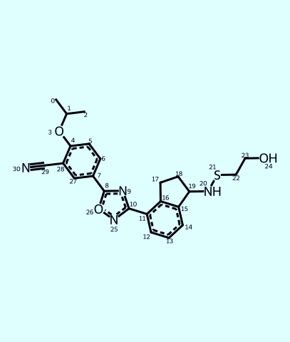 CC(C)Oc1ccc(-c2nc(-c3cccc4c3CCC4NSCCO)no2)cc1C#N